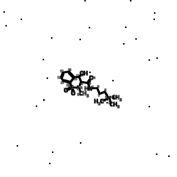 CN1C(C(=O)NCCC[N+](C)(C)C)C(O)c2ccccc2S1(=O)=O